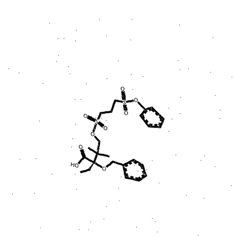 CC[C@@](OCc1ccccc1)(C(=O)O)C(C)(C)COS(=O)(=O)CCCS(=O)(=O)Oc1ccccc1